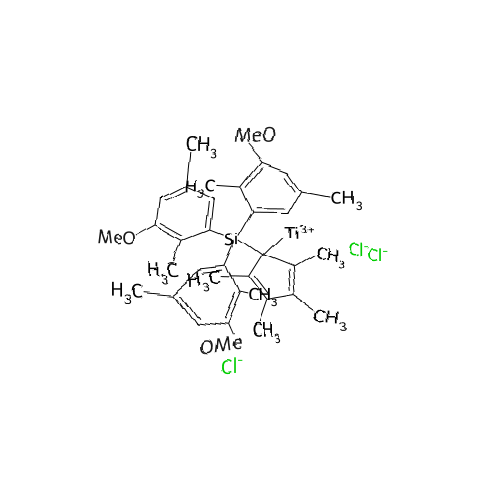 COc1cc(C)cc([Si](c2cc(C)cc(OC)c2C)(c2cc(C)cc(OC)c2C)[C]2([Ti+3])C(C)=C(C)C(C)=C2C)c1C.[Cl-].[Cl-].[Cl-]